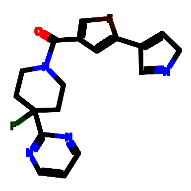 O=C(c1csc(C2=CCN=C2)c1)N1CCC(F)(c2ncccn2)CC1